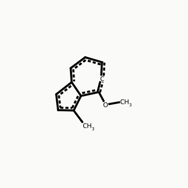 COc1ccccc2ccc(C)c1-2